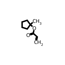 C=CC(=O)OC1(C)CCCC1